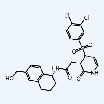 O=C(C[C@@H]1C(=O)NC=CN1S(=O)(=O)c1ccc(Cl)c(Cl)c1)N[C@@H]1CCCc2cc(CO)ccc21